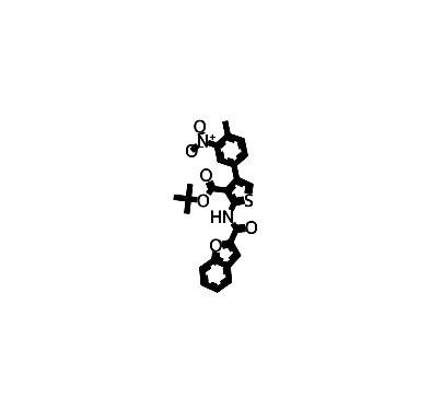 Cc1ccc(-c2csc(NC(=O)c3cc4ccccc4o3)c2C(=O)OC(C)(C)C)cc1[N+](=O)[O-]